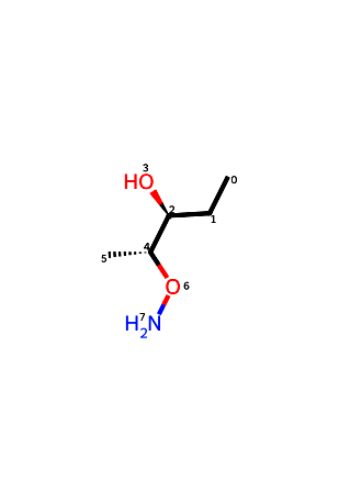 CC[C@H](O)[C@@H](C)ON